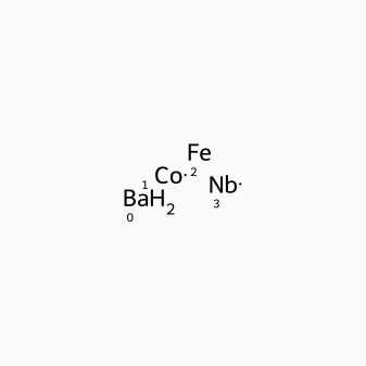 [BaH2].[Co].[Fe].[Nb]